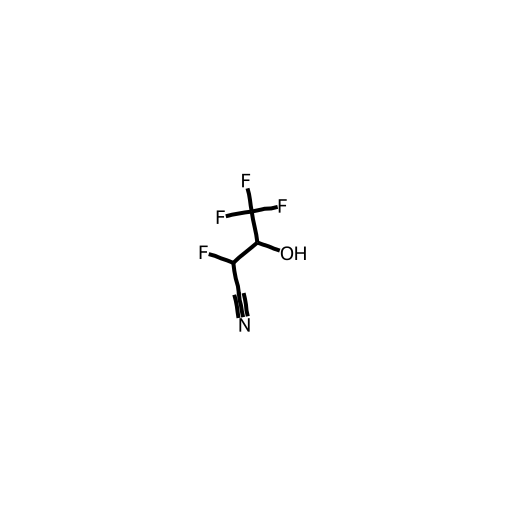 N#CC(F)C(O)C(F)(F)F